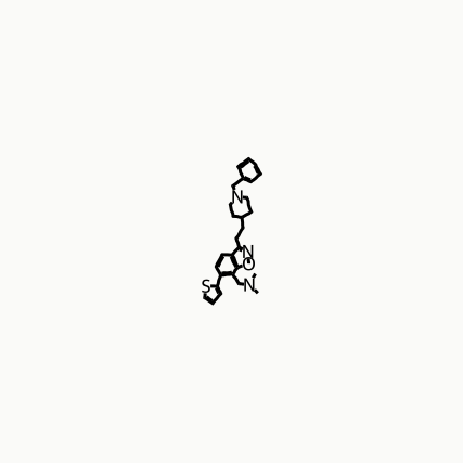 CN(C)Cc1c(-c2cccs2)ccc2c(CCC3CCN(Cc4ccccc4)CC3)noc12